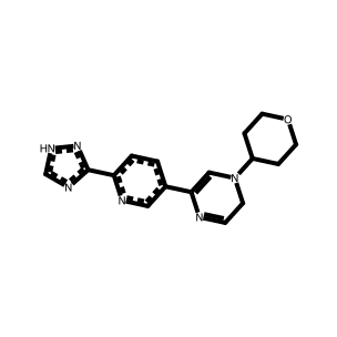 C1=NC(c2ccc(-c3nc[nH]n3)nc2)=CN(C2CCOCC2)C1